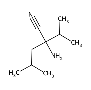 CC(C)CC(N)(C#N)C(C)C